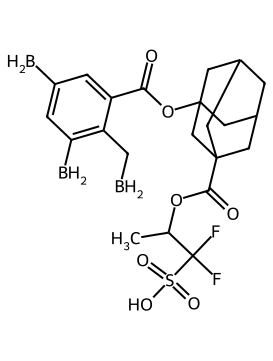 BCc1c(B)cc(B)cc1C(=O)OC12CC3CC(C1)CC(C(=O)OC(C)C(F)(F)S(=O)(=O)O)(C3)C2